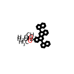 CC1(C)OB(c2ccc3c(-c4cccc5ccccc45)cc4c5ccccc5c(-c5cccc6ccccc56)cc4c3c2)OC1(C)C